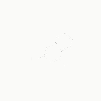 Cc1cc([O])c2ccccc2c1